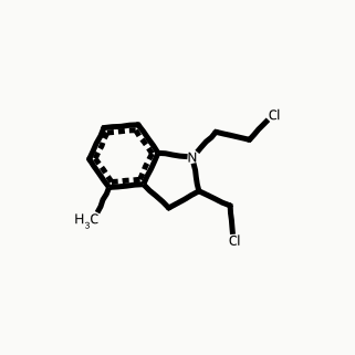 Cc1cccc2c1CC(CCl)N2CCCl